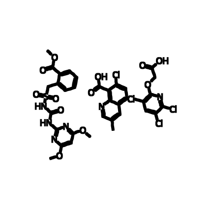 COC(=O)c1ccccc1CS(=O)(=O)NC(=O)Nc1nc(OC)cc(OC)n1.Cc1cnc2c(C(=O)O)c(Cl)ccc2c1.O=C(O)COc1nc(Cl)c(Cl)cc1Cl